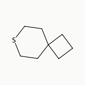 C1CC2(C1)CCSCC2